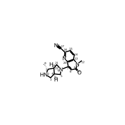 C[C@H]1NC[C@@H]2CN(c3cc(=O)n(C)c4ccc(C#N)nc34)C[C@@H]21